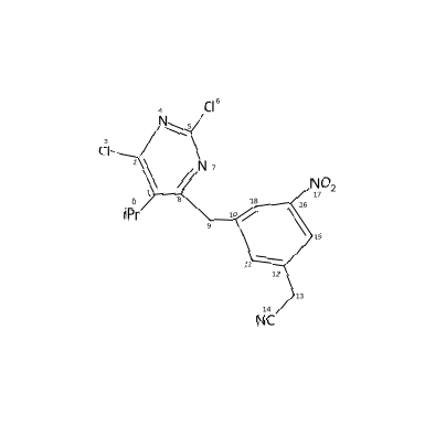 CC(C)c1c(Cl)nc(Cl)nc1Cc1cc(CC#N)cc([N+](=O)[O-])c1